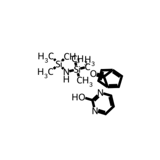 C[Si](C)(C)N[Si](C)(C)C.O=C1C2=CC=C1C=C2.Oc1ncccn1